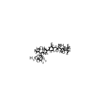 Cn1cncc1N(C(=O)OC(C)(C)C)c1ncc(-c2ccc(CC(=O)N(N)c3cc(C4(C(F)(F)F)CC4)on3)c(F)c2)cn1